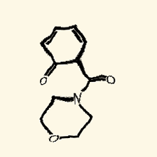 O=C1C=CC=CC1C(=O)N1CCOCC1